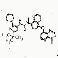 CC(C)(C)c1cc(NC(=O)Nc2ccc(Oc3ccnc4c3N=CCN4)c3cccnc23)n(-c2ccccc2)n1